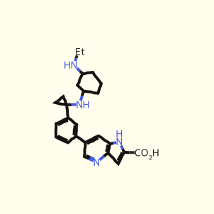 CCNC1CCCC(NC2(c3cccc(-c4cnc5cc(C(=O)O)[nH]c5c4)c3)CC2)C1